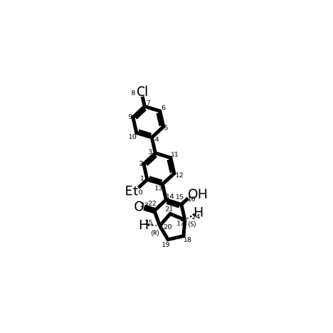 CCc1cc(-c2ccc(Cl)cc2)ccc1C1=C(O)[C@H]2CC[C@H](C2)C1=O